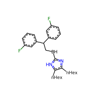 CCCCCCc1nc(BCC(c2cccc(F)c2)c2cccc(F)c2)[nH]c1CCCCCC